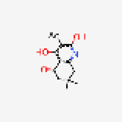 CC(=O)c1c(O)nc2c(c1O)C(=O)CC(C)(C)C2